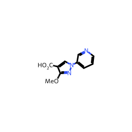 COc1nn(-c2cccnc2)cc1C(=O)O